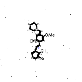 COc1cc(/C=C/c2cccc(Br)c2C)c(Cl)cc1CN1CCCCC1